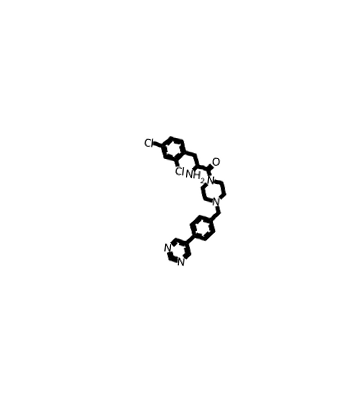 NC(Cc1ccc(Cl)cc1Cl)C(=O)N1CCN(Cc2ccc(-c3cncnc3)cc2)CC1